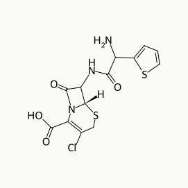 NC(C(=O)NC1C(=O)N2C(C(=O)O)=C(Cl)CS[C@@H]12)c1cccs1